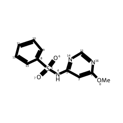 COc1cc(NS(=O)(=O)c2ccccc2)ncn1